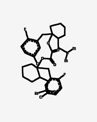 CCN(CC)CC1CCCCC1(Cc1cc(Cl)ccc1F)OC(=O)C(=O)OC1(Cc2cc(Cl)ccc2F)CCCCC1CN(CC)CC